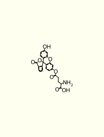 NC(CCC(=O)Oc1ccc2c(c1)Oc1cc(O)ccc1C21OC(=O)c2ccccc21)C(=O)O